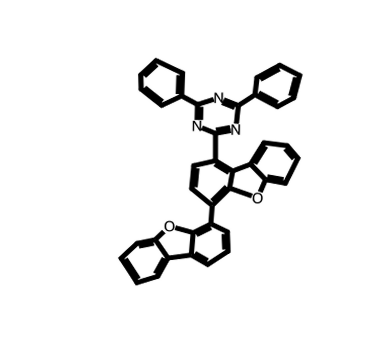 c1ccc(-c2nc(-c3ccccc3)nc(-c3ccc(-c4cccc5c4oc4ccccc45)c4oc5ccccc5c34)n2)cc1